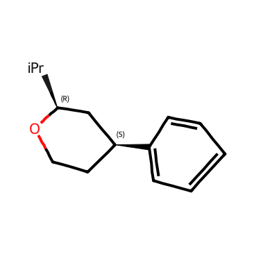 CC(C)[C@H]1C[C@@H](c2ccccc2)CCO1